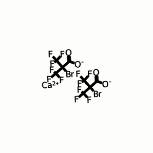 O=C([O-])C(Br)(C(F)(F)F)C(F)(F)F.O=C([O-])C(Br)(C(F)(F)F)C(F)(F)F.[Ca+2]